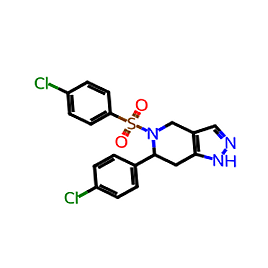 O=S(=O)(c1ccc(Cl)cc1)N1Cc2cn[nH]c2CC1c1ccc(Cl)cc1